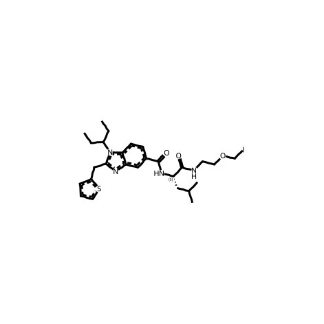 CCC(CC)n1c(Cc2cccs2)nc2cc(C(=O)N[C@@H](CC(C)C)C(=O)NCCOCI)ccc21